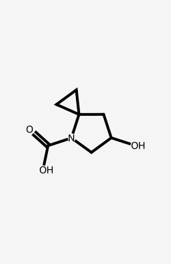 O=C(O)N1CC(O)CC12CC2